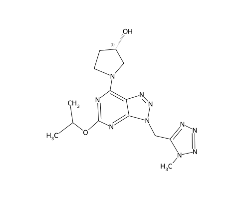 CC(C)Oc1nc(N2CC[C@H](O)C2)c2nnn(Cc3nnnn3C)c2n1